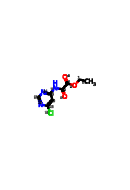 CCOC(=O)C(=O)Nc1cc(Cl)ncn1